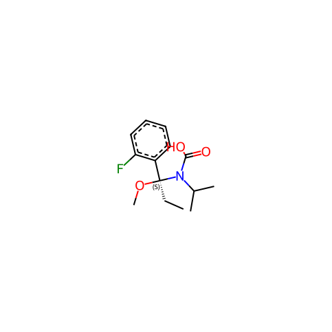 CC[C@](OC)(c1ccccc1F)N(C(=O)O)C(C)C